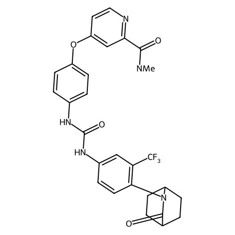 CNC(=O)c1cc(Oc2ccc(NC(=O)Nc3ccc(N4C(=O)C5CCC4CC5)c(C(F)(F)F)c3)cc2)ccn1